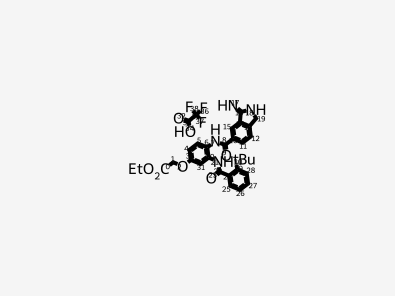 CCOC(=O)COc1ccc(NC(=O)c2ccc3c(c2)C(=N)NC3)c(NC(=O)c2ccccc2C(C)(C)C)c1.O=C(O)C(F)(F)F